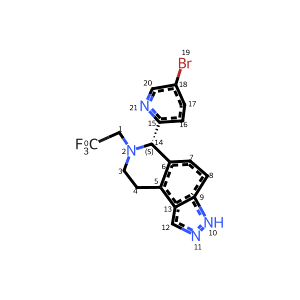 FC(F)(F)CN1CCc2c(ccc3[nH]ncc23)[C@H]1c1ccc(Br)cn1